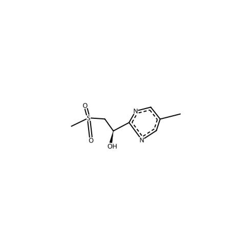 Cc1cnc([C@@H](O)CS(C)(=O)=O)nc1